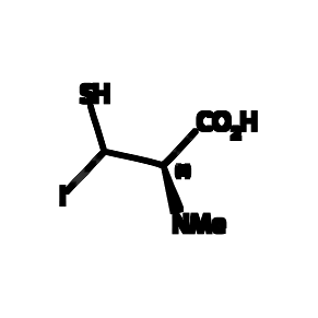 CN[C@H](C(=O)O)C(S)I